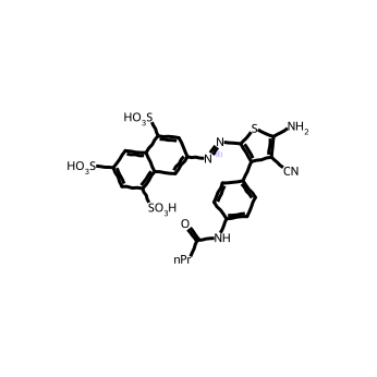 CCCC(=O)Nc1ccc(-c2c(/N=N/c3cc(S(=O)(=O)O)c4cc(S(=O)(=O)O)cc(S(=O)(=O)O)c4c3)sc(N)c2C#N)cc1